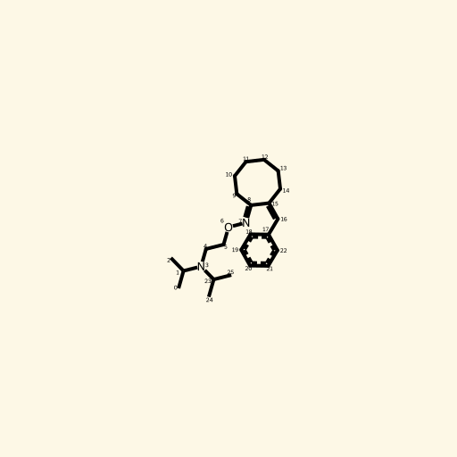 CC(C)N(CCON=C1CCCCCCC1=Cc1ccccc1)C(C)C